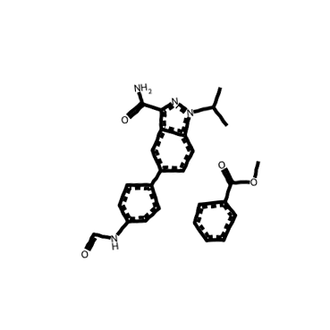 CC(C)n1nc(C(N)=O)c2cc(-c3ccc(NC=O)cc3)ccc21.COC(=O)c1ccccc1